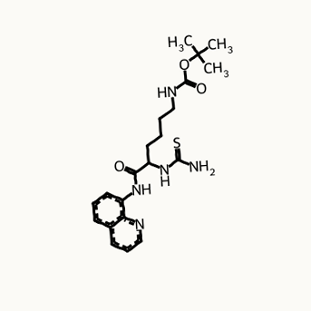 CC(C)(C)OC(=O)NCCCCC(NC(N)=S)C(=O)Nc1cccc2cccnc12